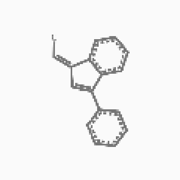 Cl/C=C1/C=C(c2ccccc2)c2ccccc21